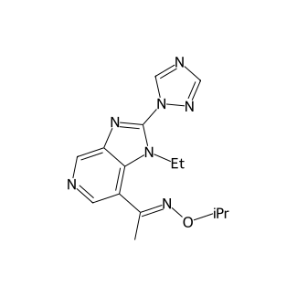 CCn1c(-n2cncn2)nc2cncc(C(C)=NOC(C)C)c21